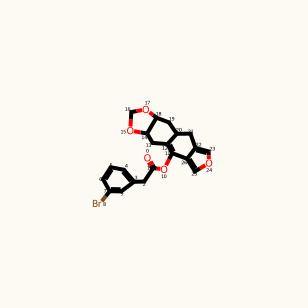 O=C(Cc1cccc(Br)c1)OC1=C2CC3OCOC3CC2Cc2cocc21